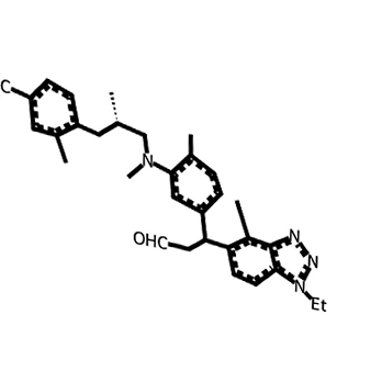 CCn1nnc2c(C)c(C(CC=O)c3ccc(C)c(N(C)C[C@@H](C)Cc4ccc(C(F)(F)F)cc4C)c3)ccc21